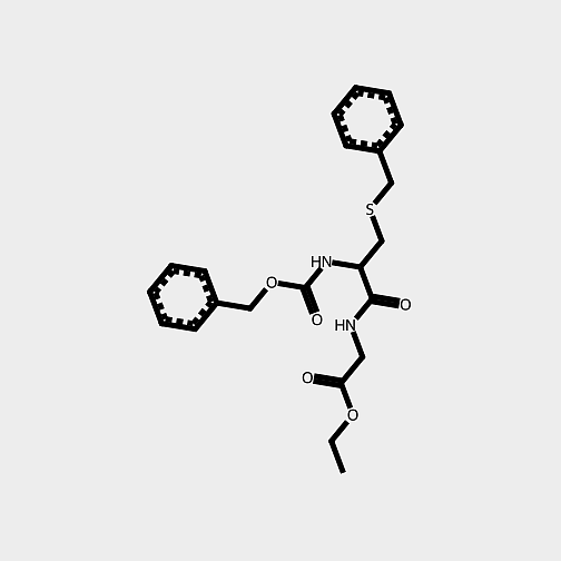 CCOC(=O)CNC(=O)C(CSCc1ccccc1)NC(=O)OCc1ccccc1